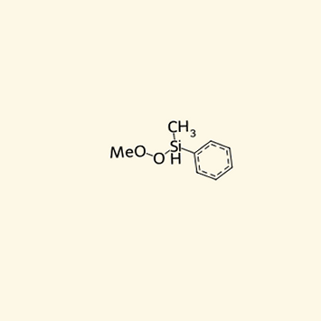 COO[SiH](C)c1ccccc1